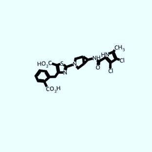 Cc1[nH]c(C(=O)NC2C3CN(c4nc(Cc5ccccc5C(=O)O)c(C(=O)O)s4)CC32)c(Cl)c1Cl